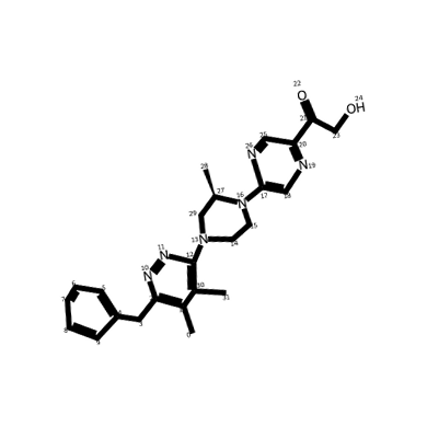 Cc1c(Cc2ccccc2)nnc(N2CCN(c3cnc(C(=O)CO)cn3)[C@H](C)C2)c1C